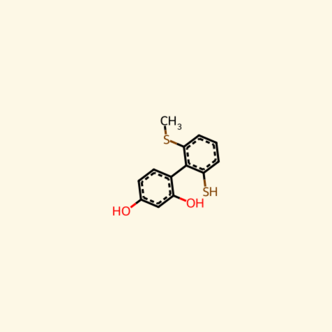 CSc1cccc(S)c1-c1ccc(O)cc1O